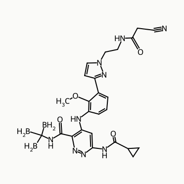 BC(B)(B)NC(=O)c1nnc(NC(=O)C2CC2)cc1Nc1cccc(-c2ccn(CCNC(=O)CC#N)n2)c1OC